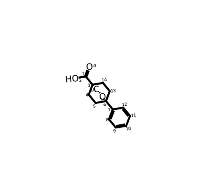 O=C(O)C12CCC(c3ccccc3)(CC1)OC2